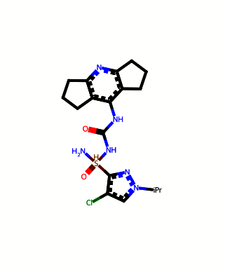 CC(C)n1cc(Cl)c([SH](N)(=O)NC(=O)Nc2c3c(nc4c2CCC4)CCC3)n1